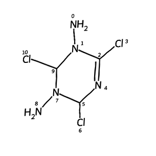 NN1C(Cl)=NC(Cl)N(N)C1Cl